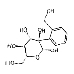 OCc1ccccc1[C@]1(O)[C@H](O)O[C@H](CO)[C@@H](O)[C@@H]1O